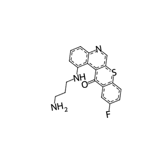 NCCCNc1cccc2ncc3sc4ccc(F)cc4c(=O)c3c12